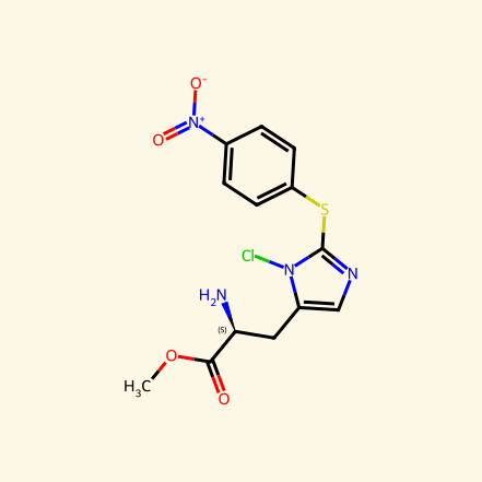 COC(=O)[C@@H](N)Cc1cnc(Sc2ccc([N+](=O)[O-])cc2)n1Cl